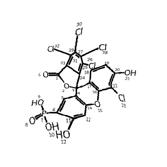 O=C1OC2(c3cc(P(=O)(O)O)c(O)cc3Oc3c2ccc(O)c3Cl)c2c(Cl)c(Cl)c(Cl)c(Cl)c21